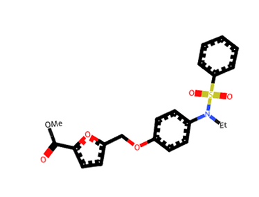 CCN(c1ccc(OCc2ccc(C(=O)OC)o2)cc1)S(=O)(=O)c1ccccc1